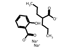 CCCC(CCC)C(=O)[O-].O=C([O-])c1ccccc1O.[Na+].[Na+]